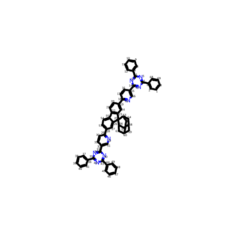 c1ccc(-c2nc(-c3ccccc3)nc(-c3ccc(-c4ccc5c(c4)C4(c6cc(-c7ccc(-c8nc(-c9ccccc9)nc(-c9ccccc9)n8)cn7)ccc6-5)C5CC6CC(C5)CC4C6)nc3)n2)cc1